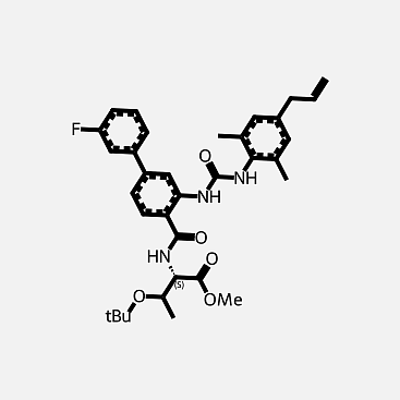 C=CCc1cc(C)c(NC(=O)Nc2cc(-c3cccc(F)c3)ccc2C(=O)N[C@H](C(=O)OC)C(C)OC(C)(C)C)c(C)c1